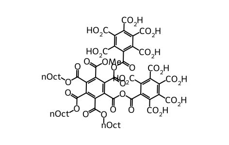 CCCCCCCCOC(=O)c1c(C(=O)OC)c(C(=O)OC(=O)c2c(C(=O)O)c(C(=O)O)c(C(=O)O)c(C(=O)O)c2C(=O)O)c(C(=O)OC(=O)c2c(C(=O)O)c(C(=O)O)c(C(=O)O)c(C(=O)O)c2C(=O)O)c(C(=O)OCCCCCCCC)c1C(=O)OCCCCCCCC